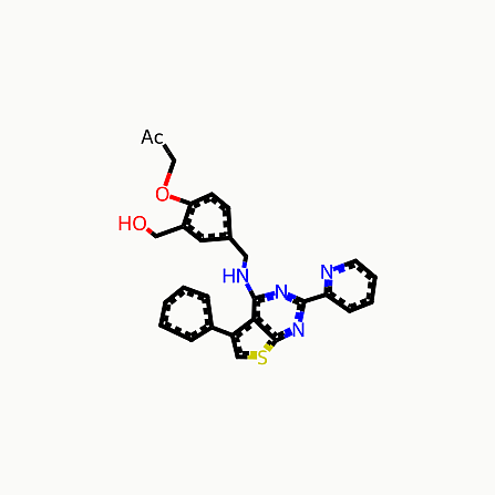 CC(=O)COc1ccc(CNc2nc(-c3ccccn3)nc3scc(-c4ccccc4)c23)cc1CO